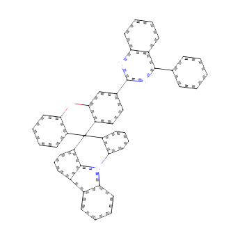 c1ccc(-c2nc(-c3ccc4c(c3)Oc3ccccc3C43c4ccccc4-n4c5ccccc5c5cccc3c54)nc3ccccc23)cc1